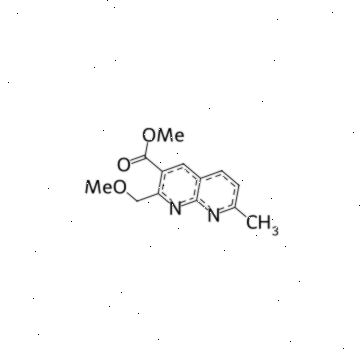 COCc1nc2nc(C)ccc2cc1C(=O)OC